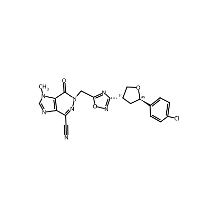 Cn1cnc2c(C#N)nn(Cc3nc([C@@H]4CO[C@@H](c5ccc(Cl)cc5)C4)no3)c(=O)c21